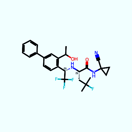 CC(O)c1cc(-c2ccccc2)ccc1[C@H](N[C@@H](CC(C)(C)F)C(=O)NC1(C#N)CC1)C(F)(F)F